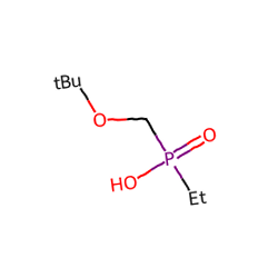 CCP(=O)(O)COC(C)(C)C